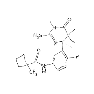 CN1C(=O)C(C)(C)[C@@](C)(c2cc(NC(=O)C3(C(F)(F)F)CCC3)ccc2F)N=C1N